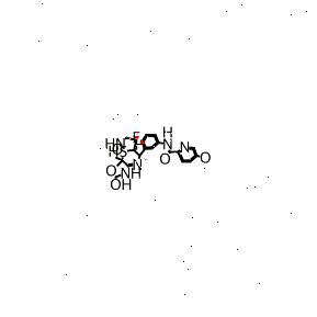 COc1ccc(C(=O)Nc2ccc(F)c([C@@]3(C)N=C(NC(=O)O)C(C)(C)[SH]4(=O)NCC[C@@H]34)c2)nc1